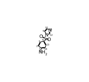 Nc1ccc(S(=O)(=O)n2ccnc2)cc1